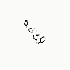 CN(Cc1ccncc1)c1nc(Cl)nc(NNC(=O)[C@H](CC2CCCC2)CN(O)C=O)c1F